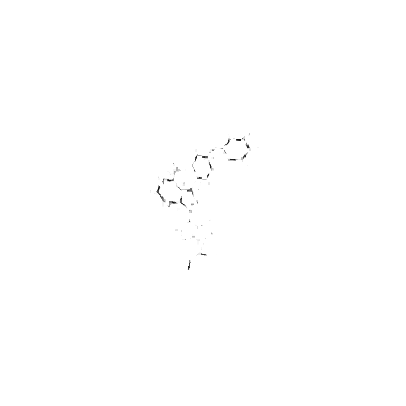 C=CC(=O)N1CCC2C1CCC2n1nc(-c2ccc(Oc3ccccc3)cc2)c2c(N)ncnc21